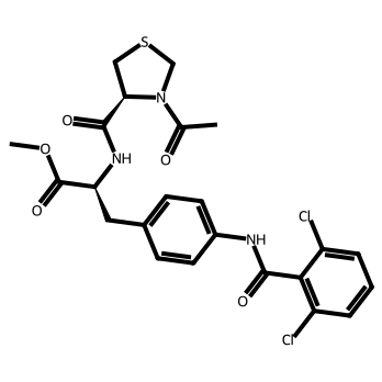 COC(=O)[C@H](Cc1ccc(NC(=O)c2c(Cl)cccc2Cl)cc1)NC(=O)[C@H]1CSCN1C(C)=O